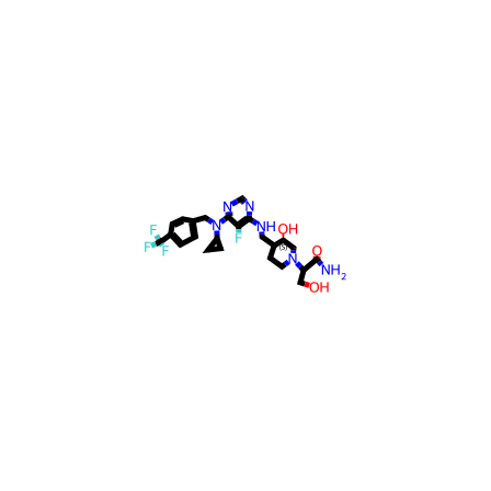 NC(=O)C(CO)N1CCC(CNc2ncnc(N(Cc3ccc(C(F)(F)F)cc3)C3CC3)c2F)[C@H](O)C1